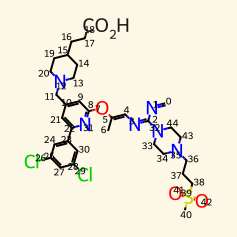 C=N/C(=N\C=C(/C)Oc1cc(CN2CCC(CCC(=O)O)CC2)cc(-c2cc(Cl)cc(Cl)c2)n1)N1CCN(CCCS(C)(=O)=O)CC1